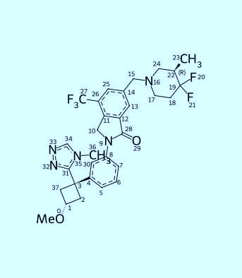 CO[C@H]1C[C@@](c2cccc(N3Cc4c(cc(CN5CCC(F)(F)[C@H](C)C5)cc4C(F)(F)F)C3=O)c2)(c2nncn2C)C1